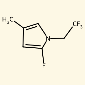 Cc1cc(F)n(CC(F)(F)F)c1